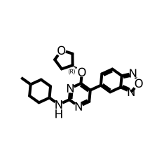 CC1CCC(Nc2ncc(-c3ccc4nonc4c3)c(O[C@@H]3CCOC3)n2)CC1